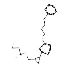 CCCC(=O)NCC1CC1c1cccc(OCCCCc2ccccc2)c1